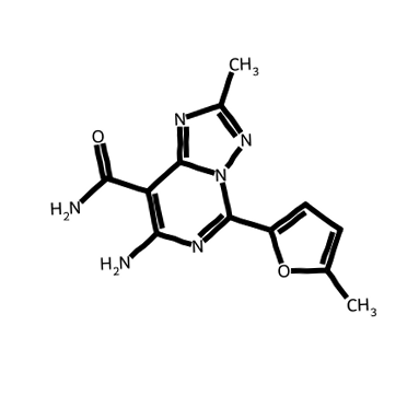 Cc1nc2c(C(N)=O)c(N)nc(-c3ccc(C)o3)n2n1